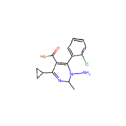 CC1N=C(C2CC2)C(C(=O)S)=C(c2ccccc2Cl)N1N